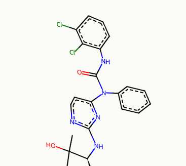 C[C@H](Nc1nccc(N(C(=O)Nc2cccc(Cl)c2Cl)c2ccccc2)n1)C(C)(C)O